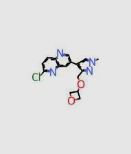 Cn1cc(-c2cnc3ccc(Cl)nc3c2)c(COC2COC2)n1